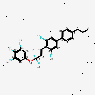 CCCc1ccc(-c2cc(F)c(C=CC(F)(F)Oc3cc(F)c(F)c(F)c3)c(F)c2)cc1